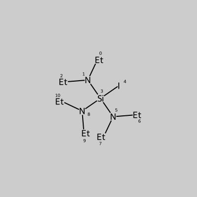 CCN(CC)[Si](I)(N(CC)CC)N(CC)CC